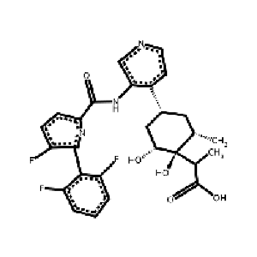 CC(C(=O)O)[C@]1(O)[C@H](O)C[C@H](c2ccncc2NC(=O)c2ccc(F)c(-c3c(F)cccc3F)n2)C[C@@H]1C